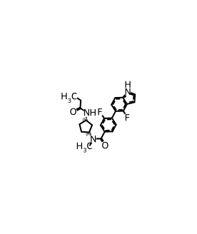 CCC(=O)N[C@H]1CC[C@@H](N(C)C(=O)c2ccc(-c3ccc4[nH]ccc4c3F)c(F)c2)C1